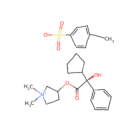 C[N+]1(C)CCC(OC(=O)[C@@](O)(c2ccccc2)C2CCCC2)C1.Cc1ccc(S(=O)(=O)[O-])cc1